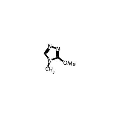 COc1nncn1C